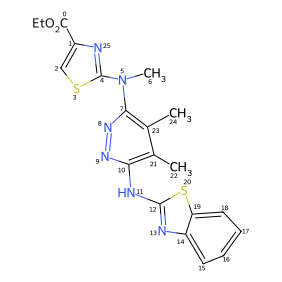 CCOC(=O)c1csc(N(C)c2nnc(Nc3nc4ccccc4s3)c(C)c2C)n1